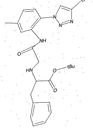 Cc1ccc(-n2cc(Cl)nn2)c(NC(=O)CNC(Cc2ccccc2)C(=O)OC(C)(C)C)c1